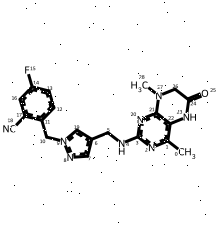 Cc1nc(NCc2cnn(Cc3ccc(F)cc3C#N)c2)nc2c1NC(=O)CN2C